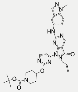 C=CCn1c(=O)c2cnc(Nc3ccc4c(cnn4C)c3)nc2n1-c1ccnc(OC2CCN(C(=O)OC(C)(C)C)CC2)n1